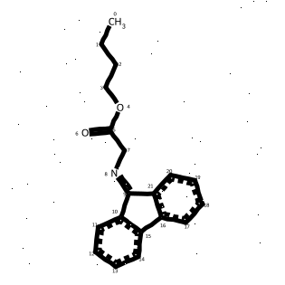 CCCCOC(=O)CN=C1c2ccccc2-c2ccccc21